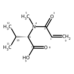 C=CC(=O)N(C)[C@H](C(=O)O)C(C)C